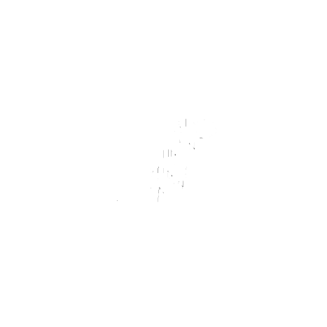 C[SiH](C)OC1(Nc2ncc3c(n2)NC(=O)N(c2ccccc2Cl)C3)CCC(C(C)(C)C)CC1